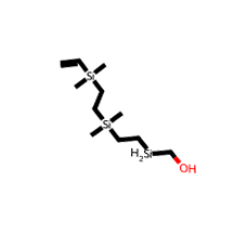 C=C[Si](C)(C)CC[Si](C)(C)CC[SiH2]CO